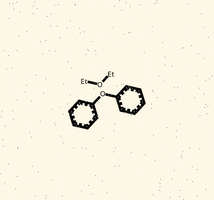 CCOCC.c1ccc(Oc2ccccc2)cc1